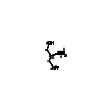 CCCC[C@H](N)CO.Cl